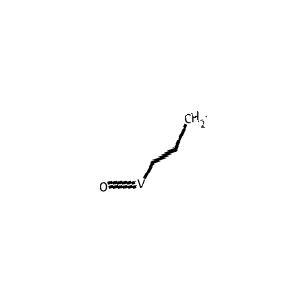 [CH2]C[CH2][V]=[O]